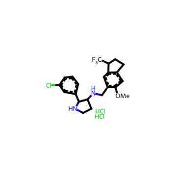 COc1cc2c(cc1CNC1CCNC1c1cccc(Cl)c1)C(C(F)(F)F)CC2.Cl.Cl